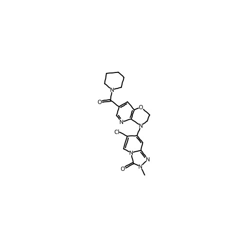 Cn1nc2cc(N3CCOc4cc(C(=O)N5CCCCC5)cnc43)c(Cl)cn2c1=O